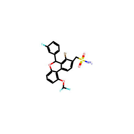 NS(=O)(=O)Cc1ccc2c(c1Br)C(c1cccc(F)c1)Oc1cccc(OC(F)F)c1-2